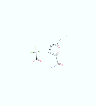 Cc1ccc(C(N)=O)o1.O=C(O)C(F)(F)F